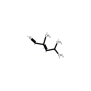 C/C([C]=O)=C\C(C)C